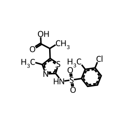 Cc1nc(NS(=O)(=O)c2cccc(Cl)c2C)sc1C(C)C(=O)O